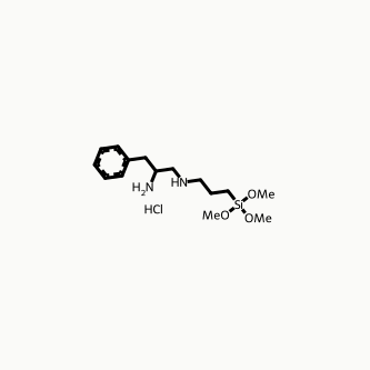 CO[Si](CCCNCC(N)Cc1ccccc1)(OC)OC.Cl